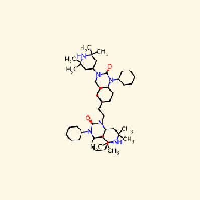 CC1(C)CC(N(CCCCCCN(C(=O)N(C2CCCCC2)C2CCCCC2)C2CC(C)(C)NC(C)(C)C2)C(=O)N(C2CCCCC2)C2CCCCC2)CC(C)(C)N1